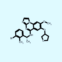 COc1cc2c(cc1OC1CCOC1)c(N[C@H](C)c1cccc(Br)c1C)nc1nccn12